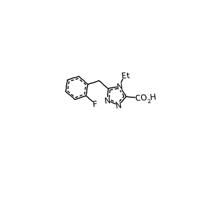 CCn1c(Cc2ccccc2F)nnc1C(=O)O